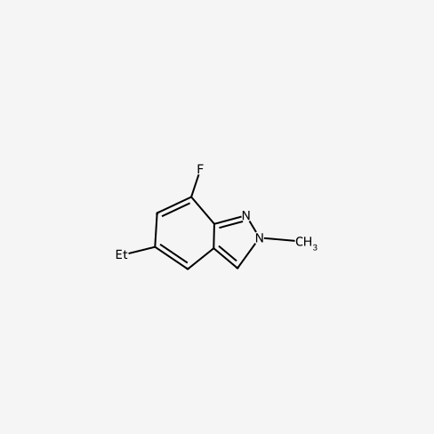 CCc1cc(F)c2nn(C)cc2c1